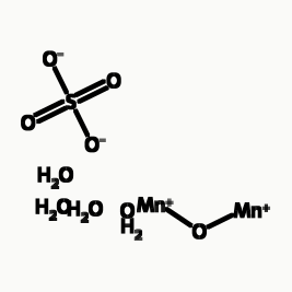 O.O.O.O.O=S(=O)([O-])[O-].[Mn+][O][Mn+]